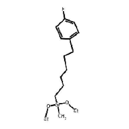 CCO[Si](C)(CCCCCCc1ccc(F)cc1)OCC